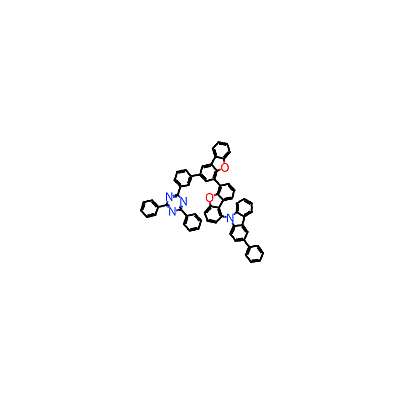 c1ccc(-c2ccc3c(c2)c2ccccc2n3-c2cccc3oc4c(-c5cc(-c6cccc(-c7nc(-c8ccccc8)nc(-c8ccccc8)n7)c6)cc6c5oc5ccccc56)cccc4c23)cc1